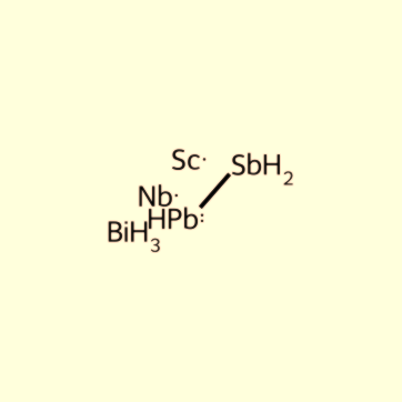 [BiH3].[Nb].[SbH2][PbH].[Sc]